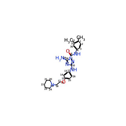 Cc1ccc(NC(=O)n2nc(Nc3ccc(OCCN4CCCCC4)cc3)nc2N)cc1C